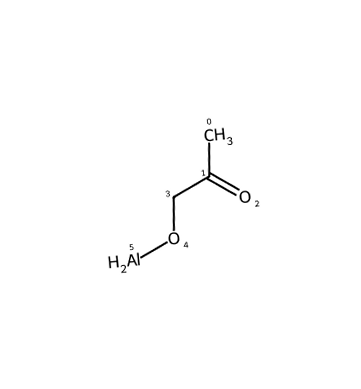 CC(=O)C[O][AlH2]